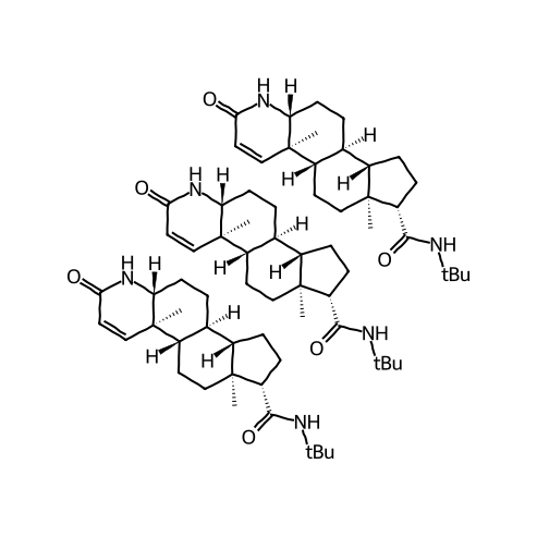 CC(C)(C)NC(=O)[C@H]1CC[C@H]2[C@@H]3CC[C@H]4NC(=O)C=C[C@]4(C)[C@H]3CC[C@]12C.CC(C)(C)NC(=O)[C@H]1CC[C@H]2[C@@H]3CC[C@H]4NC(=O)C=C[C@]4(C)[C@H]3CC[C@]12C.CC(C)(C)NC(=O)[C@H]1CC[C@H]2[C@@H]3CC[C@H]4NC(=O)C=C[C@]4(C)[C@H]3CC[C@]12C